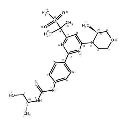 C[C@H](CO)NC(=O)Nc1ccc(-c2nc(N3CCOC[C@@H]3C)cc(C(C)(C)S(C)(=O)=O)n2)cc1